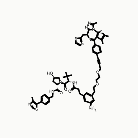 Cc1ncsc1-c1ccc(CNC(=O)[C@@H]2C[C@@H](O)CN2C(=O)[C@@H](NC(=O)CCc2cc(N)cc(CCOCCOCC#Cc3ccc(C4=NC(Cc5nccs5)c5nnc(C)n5-c5sc(C)c(C)c54)cc3)c2)C(C)(C)C)cc1